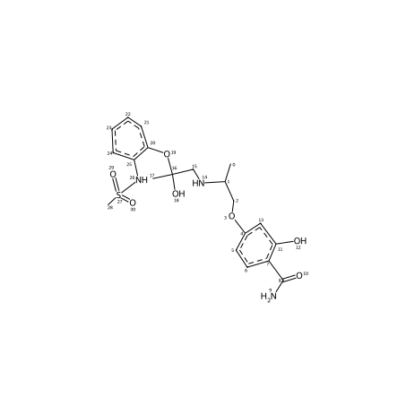 CC(COc1ccc(C(N)=O)c(O)c1)NCC(C)(O)Oc1ccccc1NS(C)(=O)=O